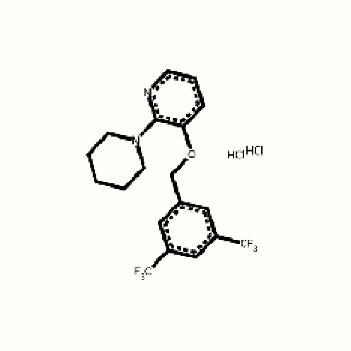 Cl.Cl.FC(F)(F)c1cc(COc2cccnc2N2CCCCC2)cc(C(F)(F)F)c1